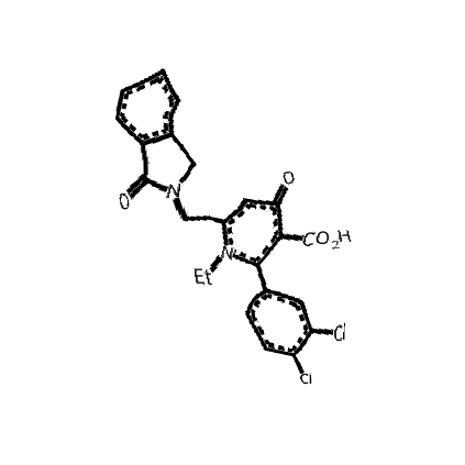 CCn1c(CN2Cc3ccccc3C2=O)cc(=O)c(C(=O)O)c1-c1ccc(Cl)c(Cl)c1